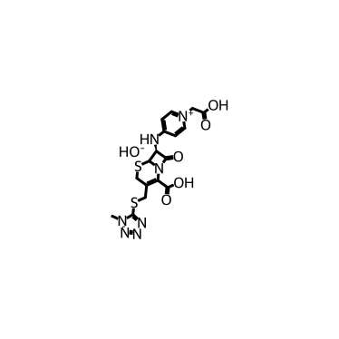 Cn1nnnc1SCC1=C(C(=O)O)N2C(=O)[C@H](Nc3cc[n+](CC(=O)O)cc3)C2SC1.[OH-]